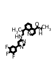 CNC(=O)c1ccnc2c([C@H](C)CNc3cc(-c4cc(F)c(F)c(F)c4)ncn3)cccc12